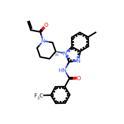 C=CC(=O)N1CCC[C@H](n2c(NC(=O)c3cccc(C(F)(F)F)c3)nc3cc(C)ccc32)C1